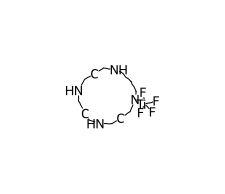 [F][Ti]([F])([F])([F])[N]1CCCNCCCNCCCNCCC1